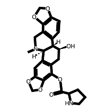 CN1Cc2c(ccc3c2OCO3)[C@@H]2[C@H]1c1cc3c(c(OC(=O)C4CCCN4)c1C[C@@H]2O)OCO3